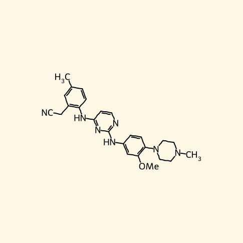 COc1cc(Nc2nccc(Nc3ccc(C)cc3CC#N)n2)ccc1N1CCN(C)CC1